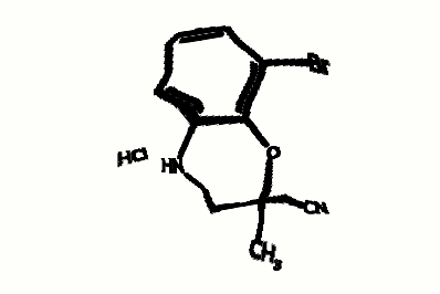 CC1(C#N)CNc2cccc(Br)c2O1.Cl